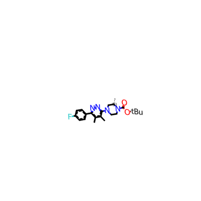 Cc1c(-c2ccc(F)cc2)nnc(N2CCN(C(=O)OC(C)(C)C)[C@@H](C)C2)c1C